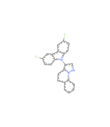 Fc1ccc2c(c1)c1cc(F)ccc1n2-c1cnn2c1ccc1ccccc12